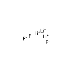 [F-].[F-].[F-].[Li+].[Li+].[Li+]